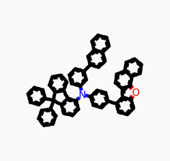 c1ccc(C2(c3ccccc3)c3ccccc3-c3c(N(c4ccc(-c5cccc6oc7c8ccccc8ccc7c56)cc4)c4cccc(-c5ccc6ccccc6c5)c4)cccc32)cc1